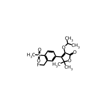 CC(C)OC1=C(c2ccc(S(C)(=O)=O)c(CF)c2)C(C)(C)OC1=O